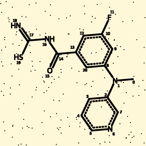 CN(c1cccnc1)c1cc(F)cc(C(=O)NC(=N)S)c1